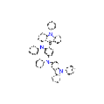 c1ccc(N(c2ccc3c(c2)N(c2ccccc2)c2cccc4c2B3c2ccccc2N4c2ccccc2)c2ccc3c(c2)c2ccccc2n3-c2ccccc2)cc1